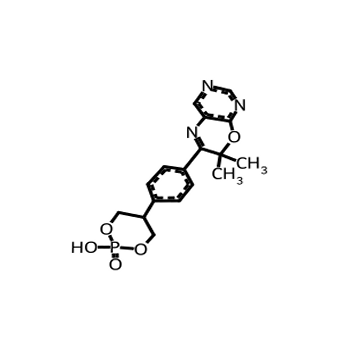 CC1(C)Oc2ncncc2N=C1c1ccc(C2COP(=O)(O)OC2)cc1